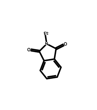 C[CH]N1C(=O)c2ccccc2C1=O